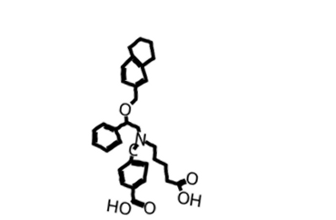 O=C(O)CCCCN(Cc1ccc(C(=O)O)cc1)CC(OCc1ccc2c(c1)CCCC2)c1ccccc1